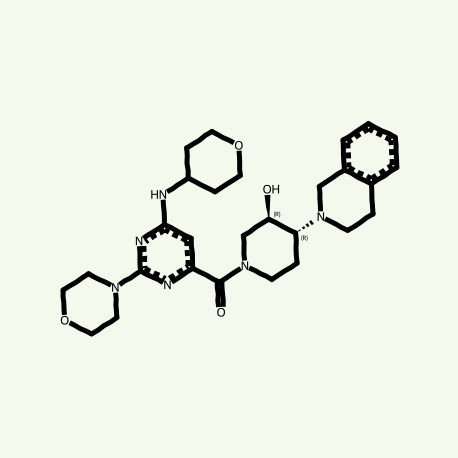 O=C(c1cc(NC2CCOCC2)nc(N2CCOCC2)n1)N1CC[C@@H](N2CCc3ccccc3C2)[C@H](O)C1